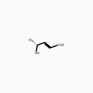 CC[C@@H](O)/C=C/C=O